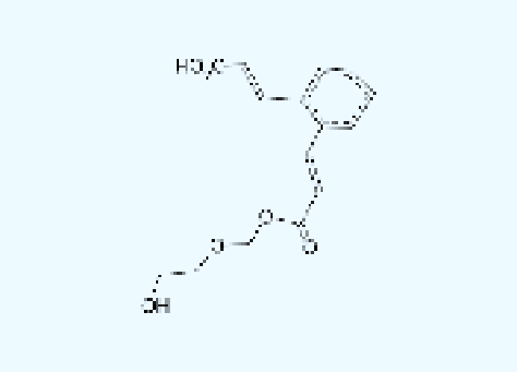 O=C(O)C=Cc1ccccc1C=CC(=O)OCOCCO